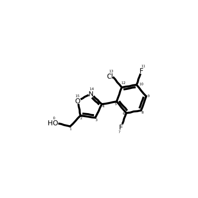 OCc1cc(-c2c(F)ccc(F)c2Cl)no1